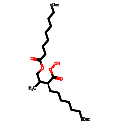 CCCCCCCCCCCCCCCCCC(=O)OCC(C)[C@H](CCCCCCCCCCCCCCCC)C(=O)OO